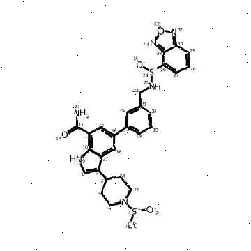 CC[S+]([O-])N1CCC(c2c[nH]c3c(C(N)=O)cc(-c4cccc(CN[S+]([O-])c5cccc6nonc56)c4)cc23)CC1